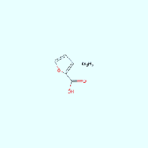 O=C(O)c1ccco1.[MgH2]